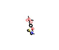 CCOC(=O)C(Cc1ccc(OCCn2c(C)ccc2-c2cccs2)cc1)OCC